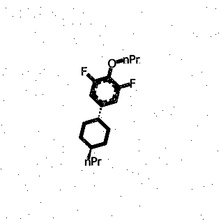 CCCOc1c(F)cc([C@H]2CC[C@H](CCC)CC2)cc1F